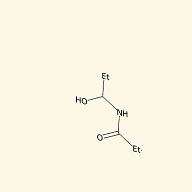 C[CH]C(=O)NC(O)CC